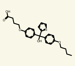 CCCCOc1ccc(C(O)(c2ccc(OCCCC(=O)O)cc2)c2cccs2)cc1